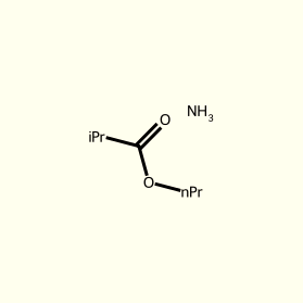 CCCOC(=O)C(C)C.N